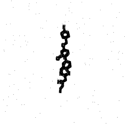 CCCNCc1ncc2cc(-n3ccc(OCc4ccc(F)cc4)cc3=O)ccc2n1